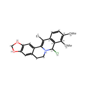 CCC1=C2c3cc4c(cc3CCN2C(Cl)c2c1ccc(OC)c2OC)OCO4